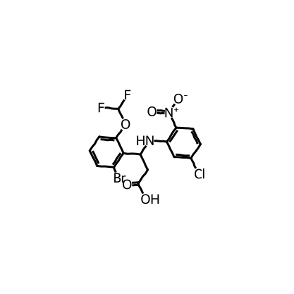 O=C(O)CC(Nc1cc(Cl)ccc1[N+](=O)[O-])c1c(Br)cccc1OC(F)F